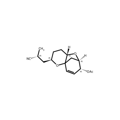 CC(=O)O[C@@H]1C=CC23C[C@H]1O[C@H]2CC[C@H](C[C@@H](C)C#N)O3